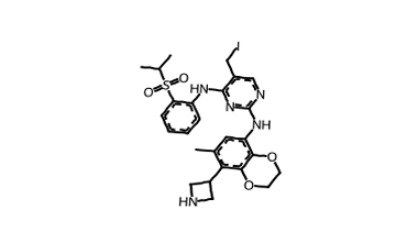 Cc1cc(Nc2ncc(CI)c(Nc3ccccc3S(=O)(=O)C(C)C)n2)c2c(c1C1CNC1)OCCO2